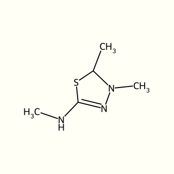 CNC1=NN(C)C(C)S1